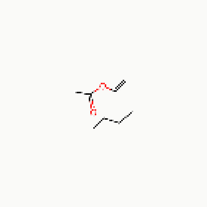 C=COC(C)=O.CCCC